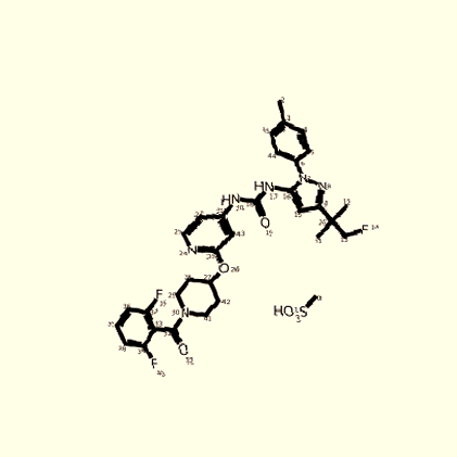 CS(=O)(=O)O.Cc1ccc(-n2nc(C(C)(C)CF)cc2NC(=O)Nc2ccnc(OC3CCN(C(=O)c4c(F)cccc4F)CC3)c2)cc1